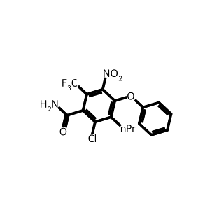 CCCc1c(Cl)c(C(N)=O)c(C(F)(F)F)c([N+](=O)[O-])c1Oc1ccccc1